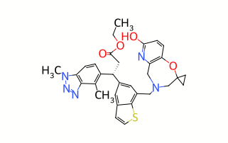 CCOC(=O)C[C@H](c1cc(CN2Cc3nc(O)ccc3OC3(CC3)C2)c2sccc2c1)c1ccc2c(nnn2C)c1C